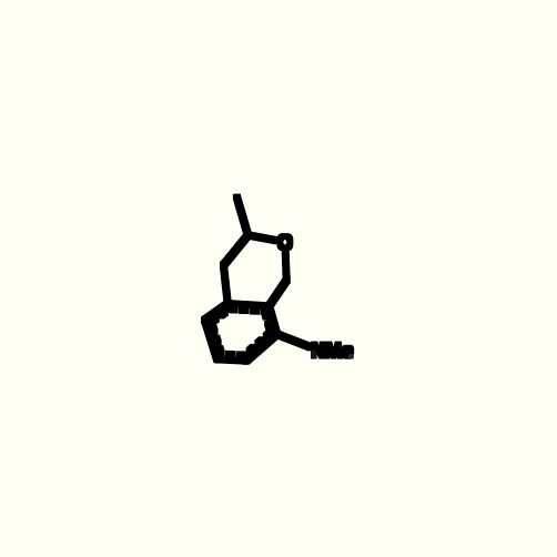 CNc1cccc2c1COC(C)C2